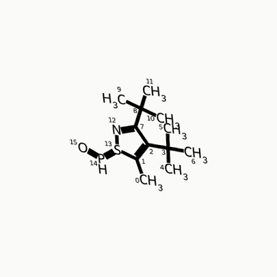 CC1=C(C(C)(C)C)C(C(C)(C)C)=NS1=[PH]=O